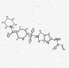 C=CC(=O)Nc1cc2c(s1)CN(S(=O)(=O)c1ccc(C(=O)N3CCCCC3)cc1)C2